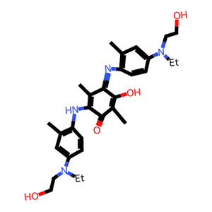 CCN(CCO)c1ccc(/N=C2/C(C)=C(Nc3ccc(N(CC)CCO)cc3C)C(=O)C(C)=C2O)c(C)c1